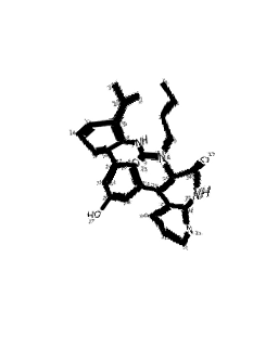 CCCCN(C(=O)Nc1c(C(C)C)cccc1C(C)C)c1c(-c2cccc(O)c2)c2cccnc2[nH]c1=O